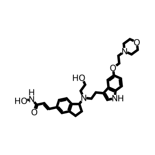 O=C(/C=C/c1ccc2c(c1)CCC2N(CCO)CCc1c[nH]c2ccc(OCCN3CCOCC3)cc12)NO